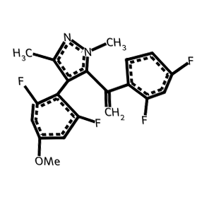 C=C(c1ccc(F)cc1F)c1c(-c2c(F)cc(OC)cc2F)c(C)nn1C